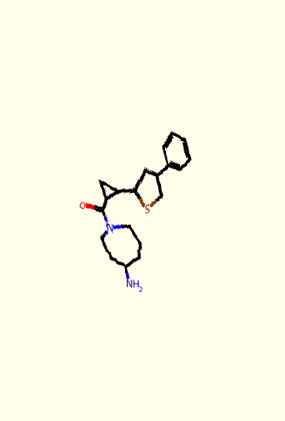 NC1CCCN(C(=O)C2CC2C2CC(c3ccccc3)CS2)CC1